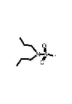 [CH2]S(=O)(=O)N(CCC)CCC